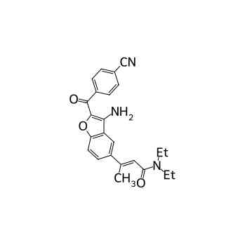 CCN(CC)C(=O)C=C(C)c1ccc2oc(C(=O)c3ccc(C#N)cc3)c(N)c2c1